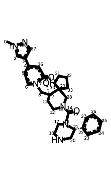 Cn1cc(-c2ccn(C[C@]3(O)CCN(C(=O)N4CCNC[C@H]4c4ccccc4)CC34CCCC4)c(=O)c2)cn1